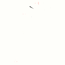 CC1=CC2=C(C)C3(CC3)[C@@](C)(O)C(=O)C2=C1Sc1ccc(O)cc1